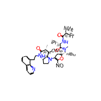 CC[C@H](C)C([C@H]1CC(N2CCC[C@H]2[C@H](OC)[C@@H](C)C(=O)NCCc2cccc3cccnc23)=C(N=O)O1)N(C)C(=O)[C@@H](NC(=O)[C@@H](NC)C(C)C)C(C)C